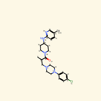 CC(CN1CCN(c2ccc(Cl)cc2)CC1)C(=O)N1CCC(Nc2ccc(C(F)(F)F)cn2)CC1